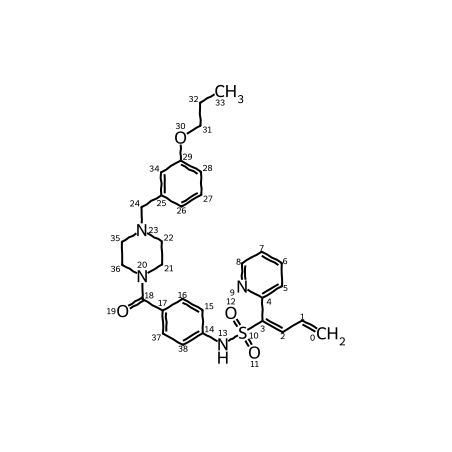 C=C/C=C(\c1ccccn1)S(=O)(=O)Nc1ccc(C(=O)N2CCN(Cc3cccc(OCCC)c3)CC2)cc1